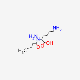 CCCCC(=O)N(N)C(CCCCN)C(=O)O